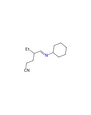 CCC(C=NC1CCCCC1)CCC#N